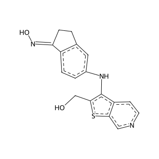 OCc1sc2cnccc2c1Nc1ccc2c(c1)CCC2=NO